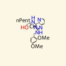 CCCCCC(C)(CO)Nc1nc(NCc2ccc(OC)cc2OC)nc2cccnc12